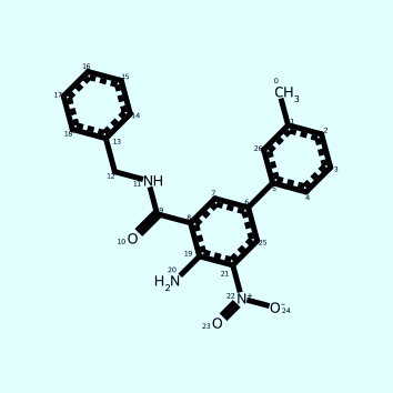 Cc1cccc(-c2cc(C(=O)NCc3ccccc3)c(N)c([N+](=O)[O-])c2)c1